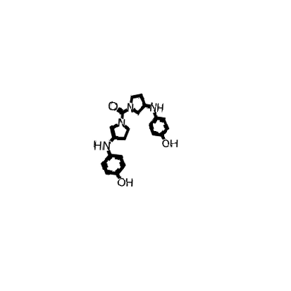 O=C(N1CCC(Nc2ccc(O)cc2)C1)N1CCC(Nc2ccc(O)cc2)C1